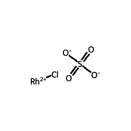 O=S(=O)([O-])[O-].[Cl][Rh+2]